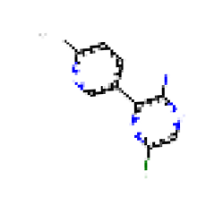 COc1ccc(-c2nc(Br)cnc2N)cn1